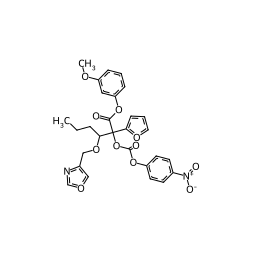 CCCC(OCc1cocn1)C(OC(=O)Oc1ccc([N+](=O)[O-])cc1)(C(=O)Oc1cccc(OC)c1)c1ccco1